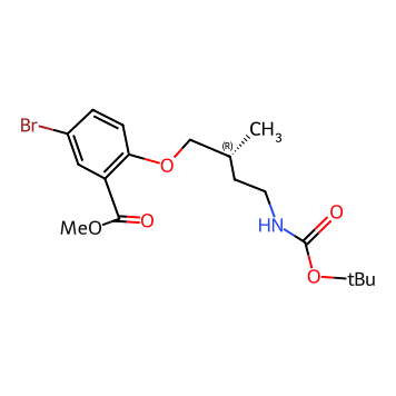 COC(=O)c1cc(Br)ccc1OC[C@H](C)CCNC(=O)OC(C)(C)C